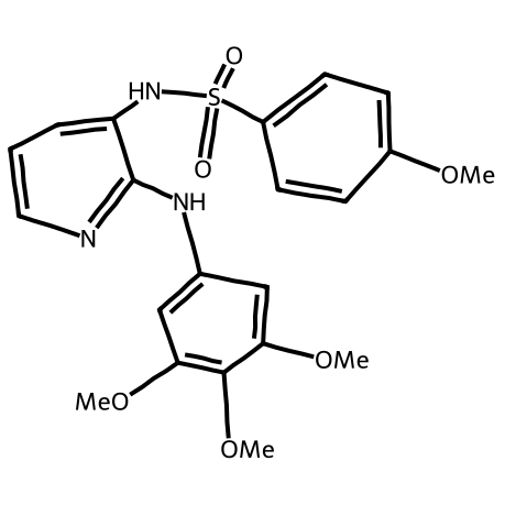 COc1ccc(S(=O)(=O)Nc2cccnc2Nc2cc(OC)c(OC)c(OC)c2)cc1